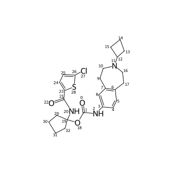 O=C(Nc1ccc2c(c1)CCN(C1CCC1)CC2)OC1(NC(=O)c2ccc(Cl)s2)CCCC1